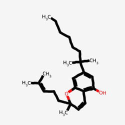 CCCCCCC(C)(C)c1cc(O)c2c(c1)OC(C)(CCC=C(C)C)C=C2